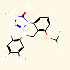 Cc1cc(Cl)c(OCc2c(OC(F)F)cccc2-n2nnn(C)c2=O)cc1C